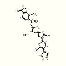 Cc1nc(N2CC3(CCN(C[C@H](O)c4ccc5c(c4C)COC5=O)CC3)CC2=O)ccc1-n1cnnn1.Cl